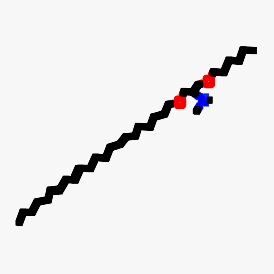 CCCCCC=CCC=CCCCCCCCCCCCCOCC(COCCCCCC)N(C)C